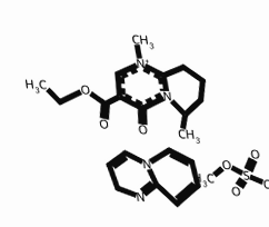 C1=CC2=NCC=CN2C=C1.CCOC(=O)c1c[n+](C)c2n(c1=O)C(C)CCC2.COS(=O)(=O)[O-]